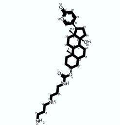 C[C@]12CC[C@H](OC(=O)NCCCNCCCN)CC1CCC1C2CC[C@]2(C)[C@@H](c3ccc(=O)oc3)CC[C@]12O